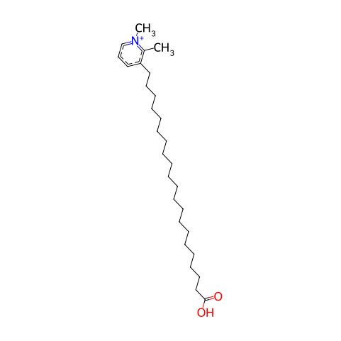 Cc1c(CCCCCCCCCCCCCCCCCCCCC(=O)O)ccc[n+]1C